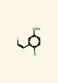 COc1ccc(Br)c(/C=C\I)c1